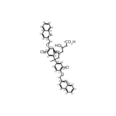 CC(CC(=N)CC(O)CC(=O)O)(c1ccc(OCc2ccc3ccccc3n2)c(Cl)c1)c1ccc(OCc2ccc3ccccc3n2)c(Cl)c1